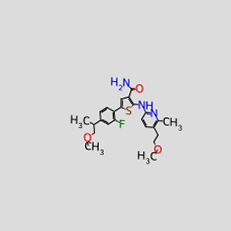 COCCc1ccc(Nc2sc(-c3ccc(C(C)COC)cc3F)cc2C(N)=O)nc1C